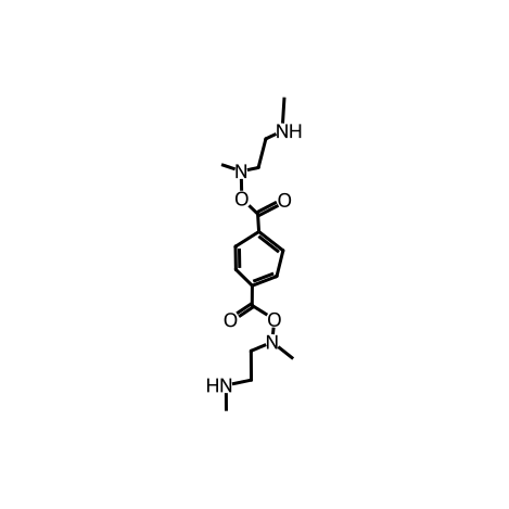 CNCCN(C)OC(=O)c1ccc(C(=O)ON(C)CCNC)cc1